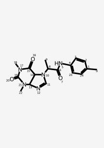 Cc1ccc(NC(=O)C(C)N2C=NC3C2C(=O)N(C)C(=O)N3C)cc1